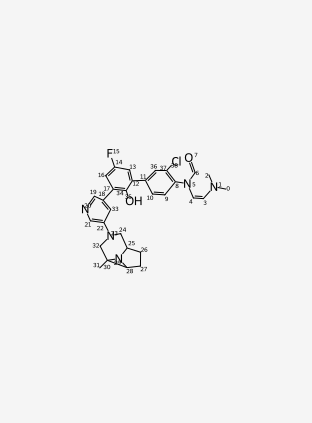 CN(C)/C=C\N(C=O)c1ccc(-c2cc(F)cc(-c3cncc(N4CC5CCC6N5C6(C)C4)c3)c2O)cc1Cl